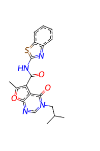 Cc1oc2ncn(CC(C)C)c(=O)c2c1C(=O)Nc1nc2ccccc2s1